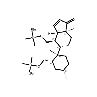 C=C1C=C[C@H]2[C@H](CO[Si](C)(C)C(C)(C)C)[C@@H]([C@@]3(C)CC[C@H](C)C[C@@H]3CO[Si](C)(C)C(C)(C)C)CC[C@]12C